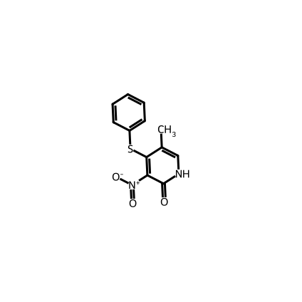 Cc1c[nH]c(=O)c([N+](=O)[O-])c1Sc1ccccc1